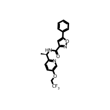 C[C@@H](NC(=O)c1cc(-c2ccccc2)on1)c1ccc(OCC(F)(F)F)cn1